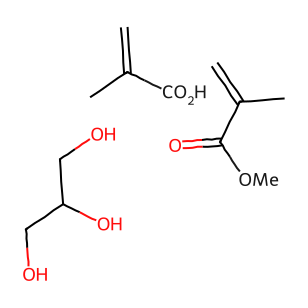 C=C(C)C(=O)O.C=C(C)C(=O)OC.OCC(O)CO